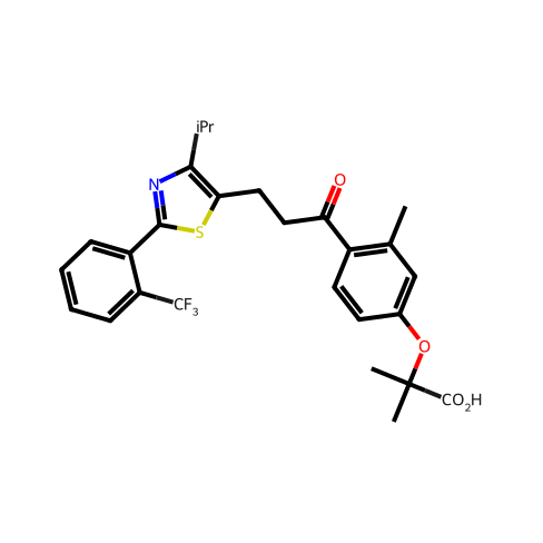 Cc1cc(OC(C)(C)C(=O)O)ccc1C(=O)CCc1sc(-c2ccccc2C(F)(F)F)nc1C(C)C